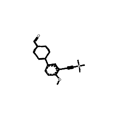 COc1ccc(C2CCC(C=O)CC2)cc1C#C[Si](C)(C)C